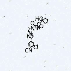 C[C@@H](Cn1ccc(-c2ccc(C#N)c(Cl)c2)n1)NC(=O)c1cc(C2(O)CCCC2)on1